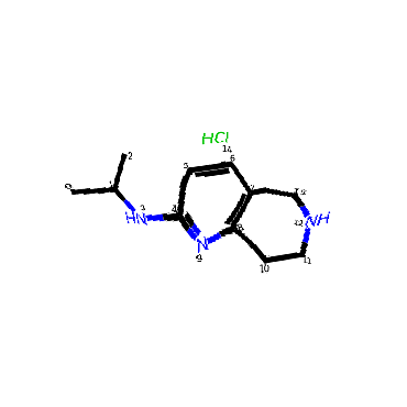 CC(C)Nc1ccc2c(n1)CCNC2.Cl